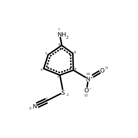 N#CSc1ccc(N)cc1[N+](=O)[O-]